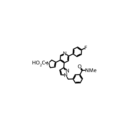 CNC(=O)c1cccc(Cn2ccc(-c3cc(-c4ccc(F)cc4)ncc3C3=CCN(C(=O)O)C3)n2)c1